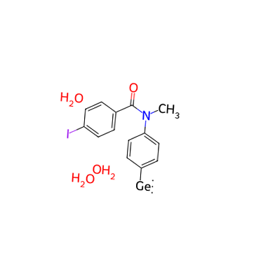 CN(C(=O)c1ccc(I)cc1)c1cc[c]([Ge])cc1.O.O.O